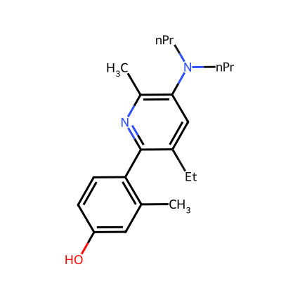 CCCN(CCC)c1cc(CC)c(-c2ccc(O)cc2C)nc1C